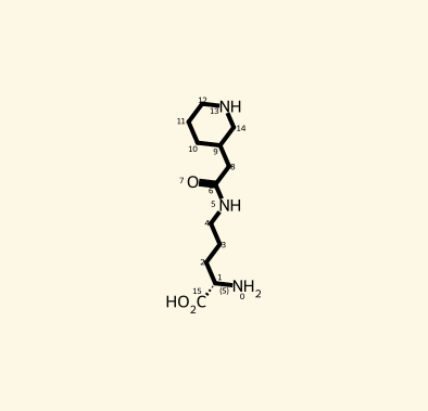 N[C@@H](CCCNC(=O)CC1CCCNC1)C(=O)O